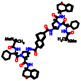 CN[C@@H](C)C(=O)N[C@H](C(=O)N1C[C@@H](NC(=O)c2ccc3cc(C(=O)N[C@H]4C[C@@H](C(=O)N[C@@H]5CCSc6ccccc65)N(C(=O)[C@@H](NC(=O)[C@H](C)NC)C5CCCCC5)C4)ccc3c2)C[C@H]1C(=O)N[C@@H]1CCSc2ccccc21)C1CCCCC1